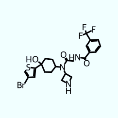 O=C(NCC(=O)N(C1CCC(O)(c2cc(Br)cs2)CC1)C1CNC1)c1cccc(C(F)(F)F)c1